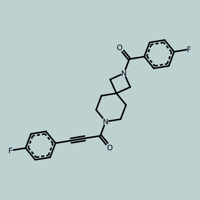 O=C(C#Cc1ccc(F)cc1)N1CCC2(CC1)CN(C(=O)c1ccc(F)cc1)C2